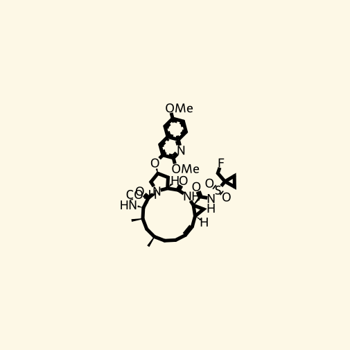 COc1ccc2nc(OC)c(O[C@@H]3C[C@H]4C(=O)N[C@]5(C(=O)NS(=O)(=O)C6(CF)CC6)C[C@H]5C=CCC[C@@H](C)C[C@@H](C)[C@H](NC(=O)O)C(=O)N4C3)cc2c1